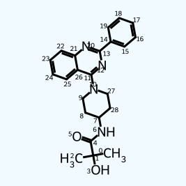 CC(C)(O)C(=O)NC1CCN(c2nc(-c3ccccc3)nc3ccccc23)CC1